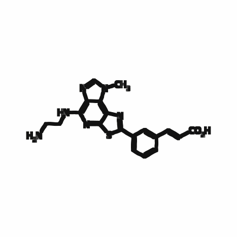 Cn1cnc2c(NCCN)nc3sc(-c4cccc(C=CC(=O)O)c4)nc3c21